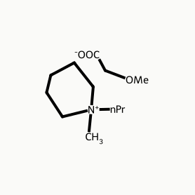 CCC[N+]1(C)CCCCC1.COCC(=O)[O-]